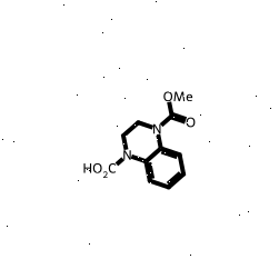 COC(=O)N1CCN(C(=O)O)c2ccccc21